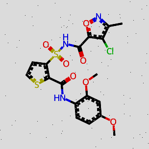 COc1ccc(NC(=O)c2sccc2S(=O)(=O)NC(=O)c2onc(C)c2Cl)c(OC)c1